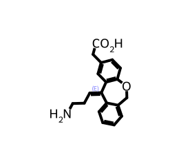 NCC/C=C1\c2ccccc2COc2ccc(CC(=O)O)cc21